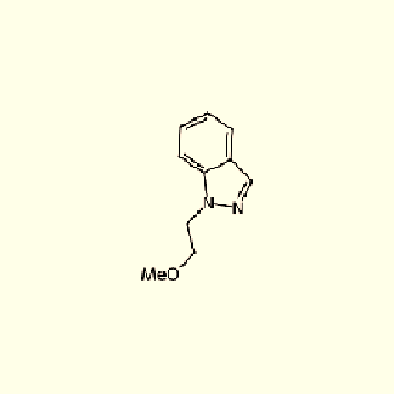 COCCn1ncc2ccccc21